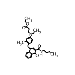 CCCCNC(=O)C1=CC(=Nc2ccc(N(CC)CCC(=O)OCC)cc2C)c2ccccc2C1=O